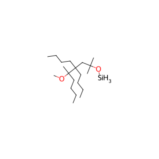 CCCCC(CCCC)(CC(C)(C)O[SiH3])C(C)(CCCC)OC